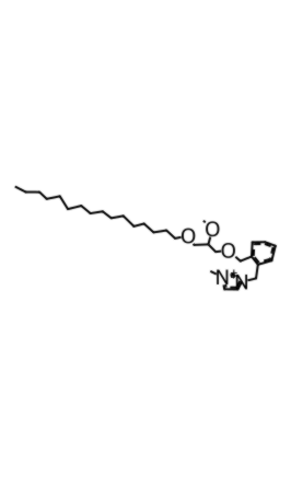 CCCCCCCCCCCCCCCCOCC(COCc1ccccc1Cn1cc[n+](C)c1)OC